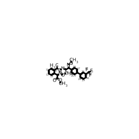 CON=C(C=NOC(C)c1ccccc1C(=NOC)C(=O)OC)c1ccc(-c2cccc(C(F)(F)F)c2)cc1